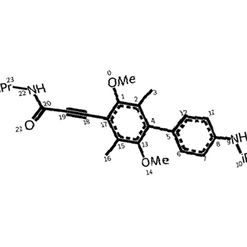 COc1c(C)c(-c2ccc(NC(C)C)cc2)c(OC)c(C)c1C#CC(=O)NC(C)C